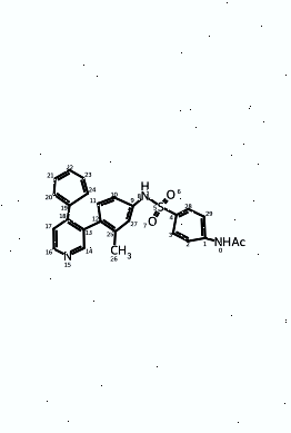 CC(=O)Nc1ccc(S(=O)(=O)Nc2ccc(-c3cnccc3-c3ccccc3)c(C)c2)cc1